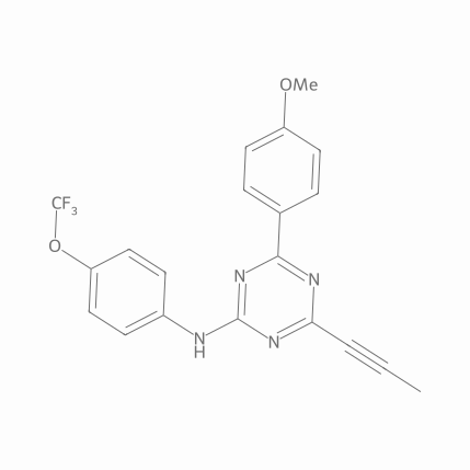 CC#Cc1nc(Nc2ccc(OC(F)(F)F)cc2)nc(-c2ccc(OC)cc2)n1